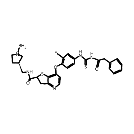 BN1CC[C@H](CNC(=O)C2Cc3nccc(Oc4ccc(NC(=S)NC(=O)Cc5ccccc5)cc4F)c3S2)C1